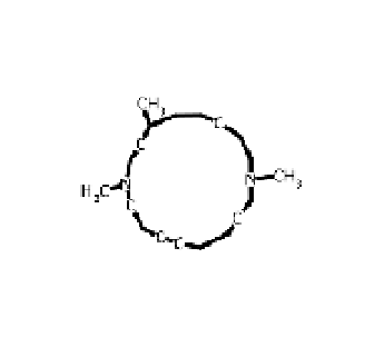 CC1CCCCCN(C)CCCCCCCCN(C)CC1